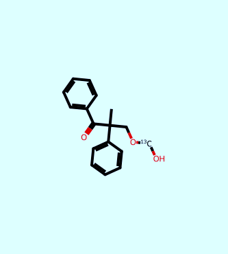 CC(CO[13CH2]O)(C(=O)c1ccccc1)c1ccccc1